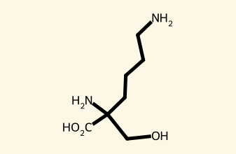 NCCCCC(N)(CO)C(=O)O